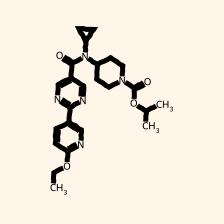 CCOc1ccc(-c2ncc(C(=O)N(C3CC3)C3CCN(C(=O)OC(C)C)CC3)cn2)cn1